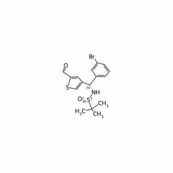 CC(C)(C)[S@+]([O-])N[C@@H](c1cccc(Br)c1)c1csc(C=O)c1